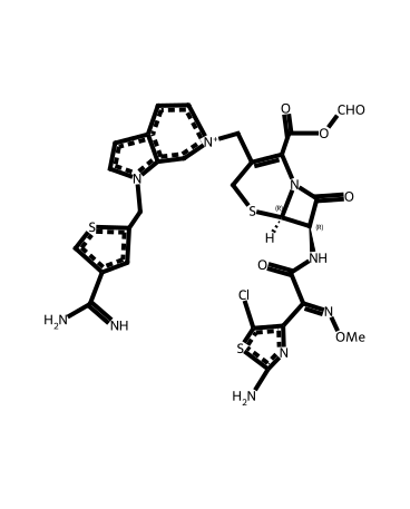 CON=C(C(=O)N[C@@H]1C(=O)N2C(C(=O)OC=O)=C(C[n+]3ccc4ccn(Cc5cc(C(=N)N)cs5)c4c3)CS[C@H]12)c1nc(N)sc1Cl